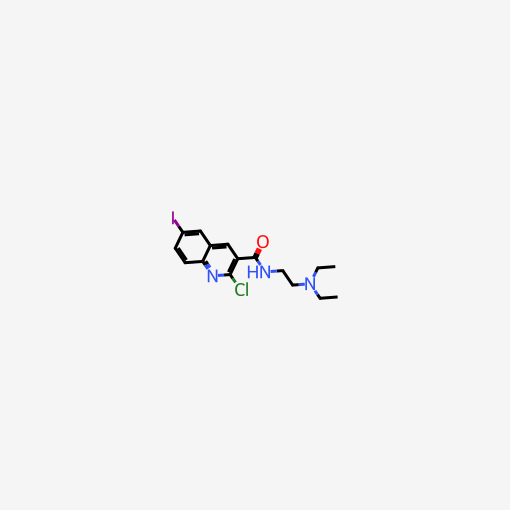 CCN(CC)CCNC(=O)c1cc2cc(I)ccc2nc1Cl